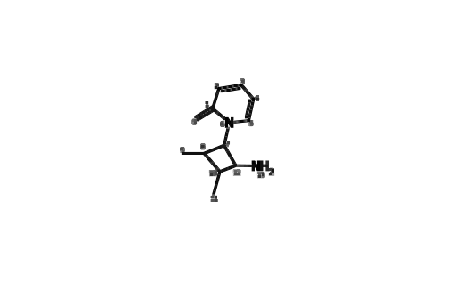 C=C1C=CC=CN1C1C(C)C(C)C1N